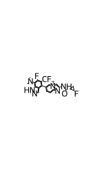 CN(C)c1c(F)c(C(F)(F)F)c(-c2ccc3nc(NC(=O)[C@@H]4C[C@@H]4F)cn3c2)c2cn[nH]c12